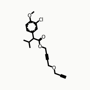 C#CCOCC#CCOC(=O)C(c1ccc(OC)c(Cl)c1)C(C)C